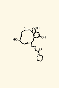 C[C@@H]1C/C=C/[C@H](O)C/C=C/C(=N/OCC(=O)N2CCCCC2)Cc2cc(O)cc(O)c2C(=O)O1